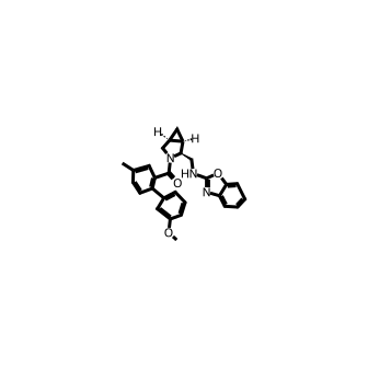 COc1cccc(-c2ccc(C)cc2C(=O)N2C[C@H]3C[C@H]3[C@H]2CNc2nc3ccccc3o2)c1